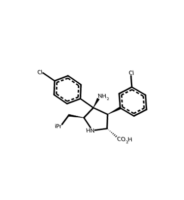 CC(C)C[C@@H]1N[C@@H](C(=O)O)[C@H](c2cccc(Cl)c2)[C@@]1(N)c1ccc(Cl)cc1